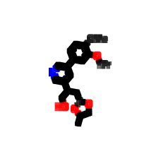 CCCOc1cc(-c2cncc(C(CO)CB3OCC(C)O3)c2)ccc1OC